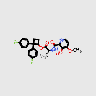 COc1ccnc(C(=O)N[C@@H](C)C(=O)OC2CCC2(c2ccc(F)cc2)c2ccc(F)cc2)c1O